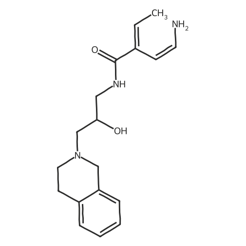 C/C=C(\C=C/N)C(=O)NCC(O)CN1CCc2ccccc2C1